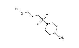 CC(C)OCCCS(=O)(=O)N1CCN(C)CC1